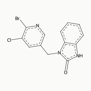 O=c1[nH]c2ccccc2n1Cc1cnc(Br)c(Cl)c1